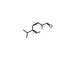 C/C=C(\C=C/N(C)C=O)C(C)C